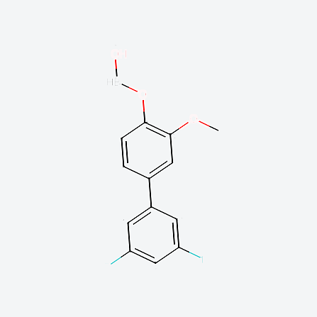 COc1cc(-c2cc(F)cc(F)c2)ccc1OBO